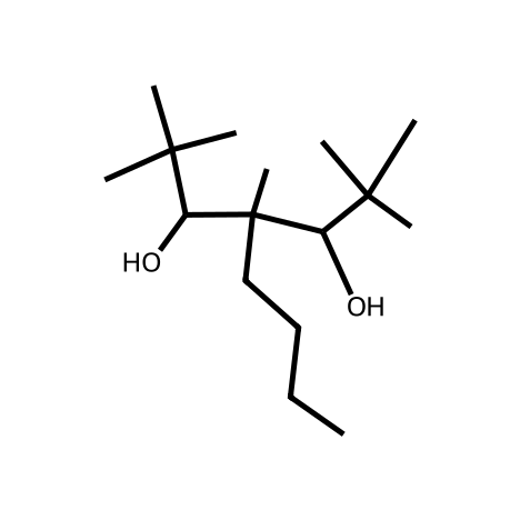 CCCCC(C)(C(O)C(C)(C)C)C(O)C(C)(C)C